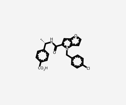 C[C@H](NC(=O)c1cc2occc2n1Cc1ccc(Cl)cc1)c1ccc(C(=O)O)cc1